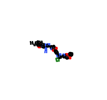 CC(C)(C)OC(=O)N1CCC(Nc2cc(-c3cnc4c(ccn4S(=O)(=O)c4ccc(-c5nc(Cl)cc(-c6cnc7c(ccn7S(=O)(=O)c7ccccc7)c6)n5)cc4)c3)ncn2)CC1